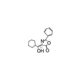 O=C1OC(c2ccccc2)=N/C1=C(/O)C1CCCCC1